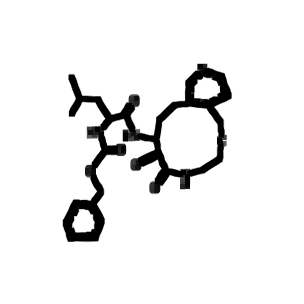 CC(C)CC(NC(=O)OCc1ccccc1)C(=O)NC1CCc2cnccc2CCCCNC(=O)C1=O